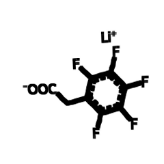 O=C([O-])Cc1c(F)c(F)c(F)c(F)c1F.[Li+]